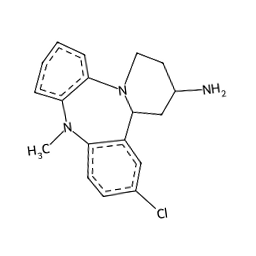 CN1c2ccc(Cl)cc2C2CC(N)CCN2c2ccccc21